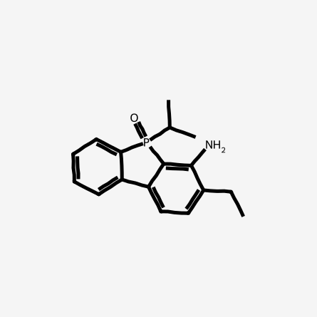 CCc1ccc2c(c1N)P(=O)(C(C)C)c1ccccc1-2